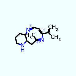 C=C(C)C1=C/C=N\C2CCCNC2C\C(C)=N\1